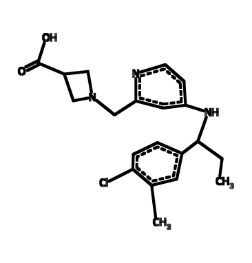 CCC(Nc1ccnc(CN2CC(C(=O)O)C2)c1)c1ccc(Cl)c(C)c1